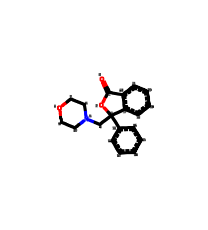 O=C1OC(CN2CCOCC2)(c2ccccc2)c2ccccc21